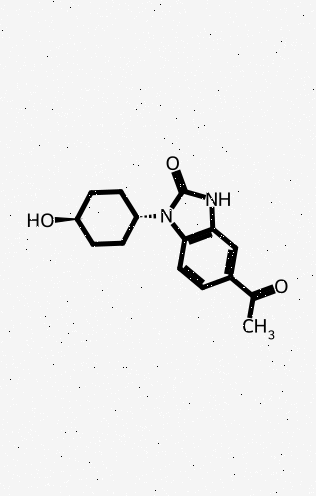 CC(=O)c1ccc2c(c1)[nH]c(=O)n2[C@H]1CC[C@H](O)CC1